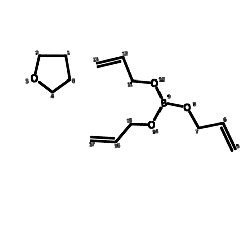 C1CCOC1.C=CCOB(OCC=C)OCC=C